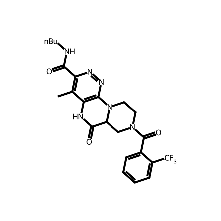 CCCCNC(=O)c1nnc2c(c1C)NC(=O)C1CN(C(=O)c3ccccc3C(F)(F)F)CCN21